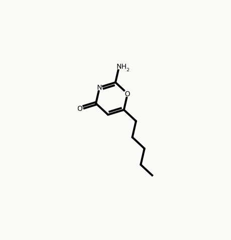 CCCCCc1cc(=O)nc(N)o1